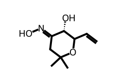 C=CC1OC(C)(C)C/C(=N\O)[C@@H]1O